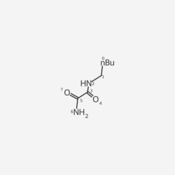 CCCCCNC(=O)C(N)=O